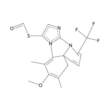 COC1=C(C)CC23C=CC=C(C(F)(F)F)N2c2ncc(SC=O)n2C3=C1C